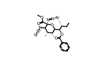 CC[C@@H](C)[C@@H](OC(=O)c1ccccc1)C1O[C@](N=[N+]=[N-])(C(=O)OC)C(N=[N+]=[N-])[C@@H](C)[C@H]1C